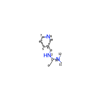 CC(NCc1cccnc1)N(C)C